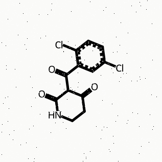 O=C1CCNC(=O)C1C(=O)c1cc(Cl)ccc1Cl